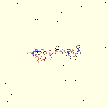 Cc1c(-c2ccc(N3CCc4cccc(C(=O)Nc5nc6ccccc6s5)c4C3)nc2C(=O)O)cnn1CC12CC3(C)CC(C)(C1)CC(OCCN(CCS(=O)(=O)O)C(=O)OCc1ccc(NC[C@@H](C)NC[C@H](N)C(C)C)cc1CC[C@@H]1O[C@H](C(=O)O)[C@@H](O)[C@H](O)[C@H]1O)(C3)C2